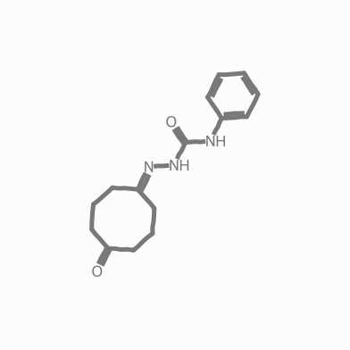 O=C1CCCC(=NNC(=O)Nc2ccccc2)CCC1